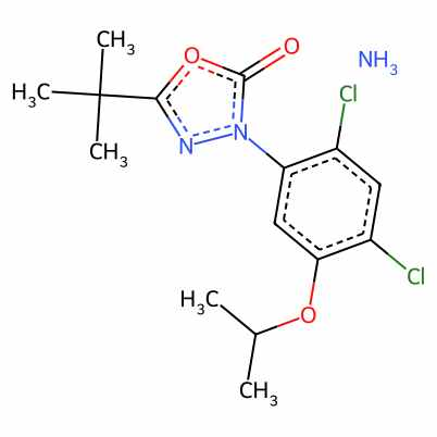 CC(C)Oc1cc(-n2nc(C(C)(C)C)oc2=O)c(Cl)cc1Cl.N